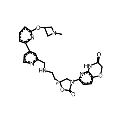 CN1CC(Oc2cccc(-c3ccnc(CNCC[C@H]4CN(c5ccc6c(n5)NC(=O)CO6)C(=O)O4)c3)n2)C1